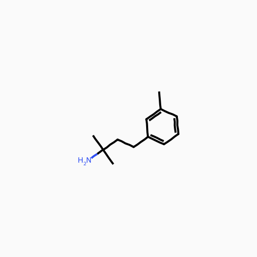 Cc1cccc(CCC(C)(C)N)c1